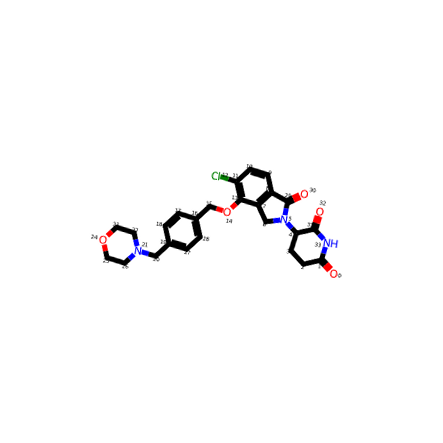 O=C1CCC(N2Cc3c(ccc(Cl)c3OCc3ccc(CN4CCOCC4)cc3)C2=O)C(=O)N1